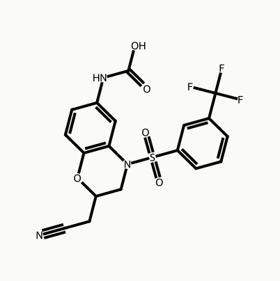 N#CCC1CN(S(=O)(=O)c2cccc(C(F)(F)F)c2)c2cc(NC(=O)O)ccc2O1